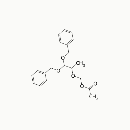 CC(=O)OCOC(C)C(OCc1ccccc1)OCc1ccccc1